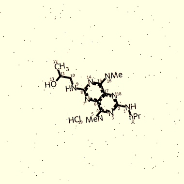 CCCNc1nc(NC)c2nc(NCC(C)O)nc(NC)c2n1.Cl